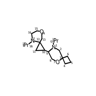 CC(C)N1CC2(CCC2)OCC1C1CC12COCCN2C(C)C